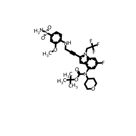 COc1cc(S(N)(=O)=O)ccc1NCC#Cc1cc2c(N(C(=O)OC(C)(C)C)C3CCOCC3)cc(F)cc2n1CC(F)(F)F